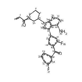 C=CC(=O)N1CCCC(n2nc(-c3ccc(C(=O)c4cccc(F)c4)c(F)c3)c3c(N)ncnc32)C1